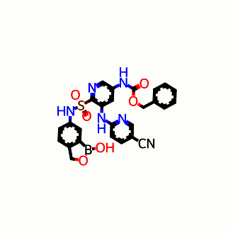 N#Cc1ccc(Nc2cc(NC(=O)OCc3ccccc3)cnc2S(=O)(=O)Nc2ccc3c(c2)B(O)OC3)nc1